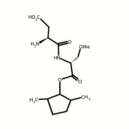 COC[C@@H](NC(=O)[C@@H](N)CC(=O)O)C(=O)OC1C(C)CCC1C